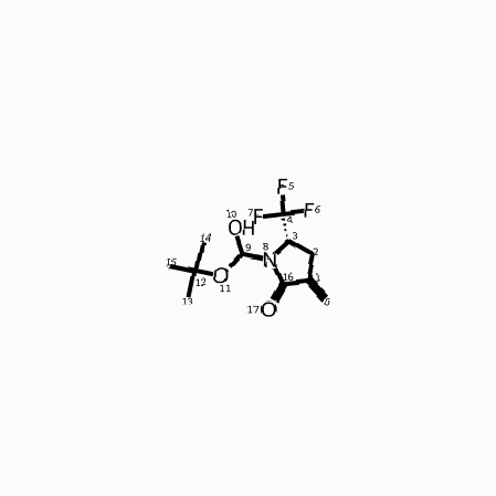 C=C1C[C@@H](C(F)(F)F)N(C(O)OC(C)(C)C)C1=O